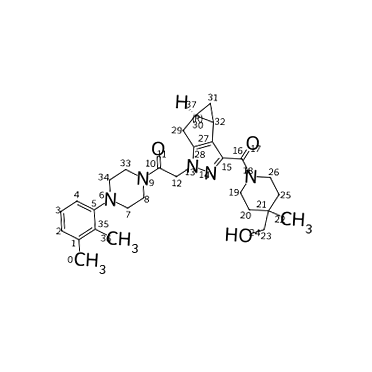 Cc1cccc(N2CCN(C(=O)Cn3nc(C(=O)N4CCC(C)(CO)CC4)c4c3C[C@H]3CC43)CC2)c1C